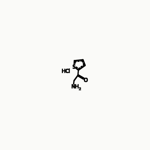 Cl.NCC(=O)c1cccs1